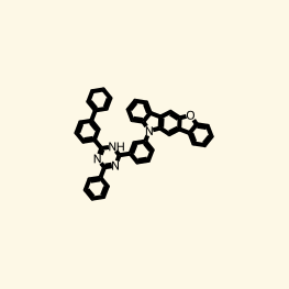 C1=CC(c2cccc(C3=NC(c4ccccc4)=NC(c4cccc(-n5c6ccccc6c6cc7oc8ccccc8c7cc65)c4)N3)c2)=CCC1